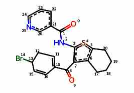 O=C(Nc1sc2c(c1C(=O)C1=CCC(Br)C=C1)CCCC2)c1cccnc1